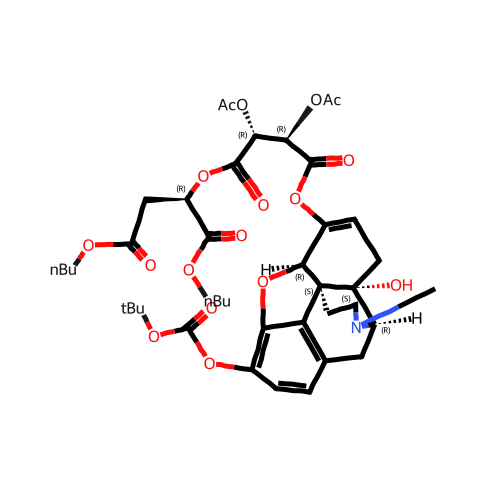 CCCCOC(=O)C[C@@H](OC(=O)[C@H](OC(C)=O)[C@@H](OC(C)=O)C(=O)OC1=CC[C@@]2(O)[C@H]3Cc4ccc(OC(=O)OC(C)(C)C)c5c4[C@@]2(CCN3C)[C@H]1O5)C(=O)OCCCC